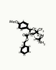 COc1ccc(C2OC(O)(C(F)(F)F)[C@H](CC(N)=O)N2C(=O)OCc2ccccc2)cc1